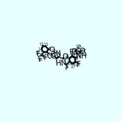 CC(NC(=O)c1coc(Oc2cccc(C(F)(F)F)c2Cl)n1)c1cc(F)c(NS(C)(=O)=O)c(F)c1